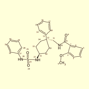 COc1ccccc1C(=O)NC[C@]1(c2ccccc2)CC[C@@H](NS(=O)(=O)Nc2ccccc2)CC1